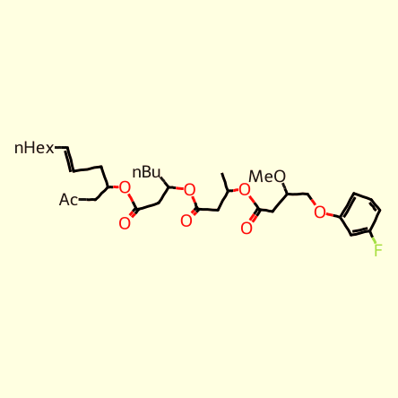 CCCCCCC=CCC(CC(C)=O)OC(=O)CC(CCCC)OC(=O)CC(C)OC(=O)CC(COc1cccc(F)c1)OC